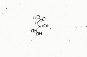 O=C(O)CCC(=O)O.[Ce]